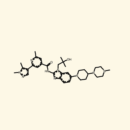 Cc1cc(C(=O)Nc2nc3ccc(N4CCC(N5CCN(C)CC5)CC4)cc3n2CC(C)(C)O)cc(-c2cnn(C)c2C)n1